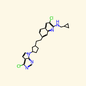 Clc1cc2ccc(CCC3CCC(n4ccc5c(Cl)ncnc54)C3)cc2nc1NCC1CC1